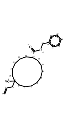 C=CCC1(O)CCCCCCCC[C@@H](C(=O)OCc2ccccc2)CCCCC1